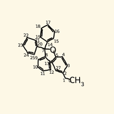 CCc1ccc(OC(c2ccccc2)(c2ccccc2)c2ccccc2)cc1